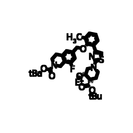 CCO[C@@H]1CN(c2nc(-c3cccc(C)c3OCc3cc(F)c4c(c3)CCN(C(=O)OC(C)(C)C)C4)cs2)CC[C@@H]1C(=O)OC(C)(C)C